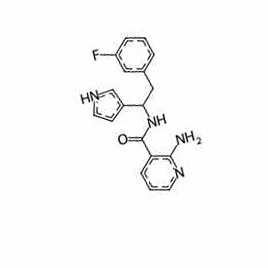 Nc1ncccc1C(=O)NC(Cc1cccc(F)c1)c1cc[nH]c1